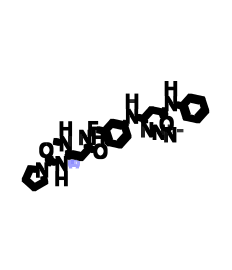 CN/C(=C\C(=N)Oc1ccc(NC(CC(=O)Nc2ccccc2)N=[N+]=[N-])cc1F)NC(=O)N1CCCC1